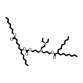 CCCCCCCOC(=O)CCCCC(CCCCCC)OC(=O)OCCCN(CCCOC(=O)C(CCCCCCC)CCCCCCC)CCN(CC)CC